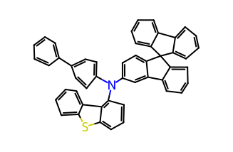 c1ccc(-c2ccc(N(c3ccc4c(c3)-c3ccccc3C43c4ccccc4-c4ccccc43)c3cccc4sc5ccccc5c34)cc2)cc1